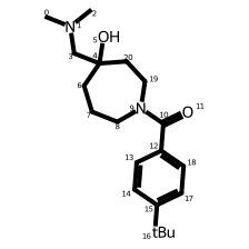 CN(C)CC1(O)CCCN(C(=O)c2ccc(C(C)(C)C)cc2)CC1